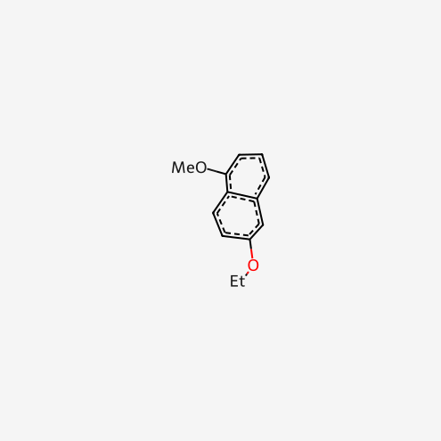 CCOc1ccc2c(OC)cccc2c1